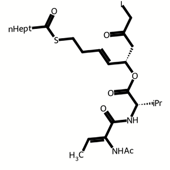 C/C=C(\NC(C)=O)C(=O)N[C@H](C(=O)O[C@H](/C=C/CCSC(=O)CCCCCCC)CC(=O)CI)C(C)C